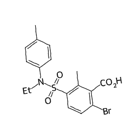 CCN(c1ccc(C)cc1)S(=O)(=O)c1ccc(Br)c(C(=O)O)c1C